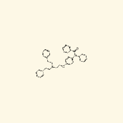 O=C(c1ccccc1)N(c1ccccc1)c1ccc(OCCN(CCc2ccccc2)CCc2ccccc2)cc1